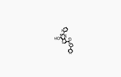 O=C(c1csc2c(O)nc(-c3ccccn3)nc12)N1CCC(c2ccncc2)C1